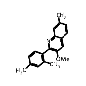 COc1cc2ccc(C)cc2nc1-c1ccc(C)cc1C